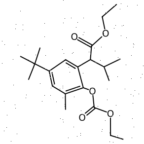 CCOC(=O)Oc1c(C)cc(C(C)(C)C)cc1C(C(=O)OCC)C(C)C